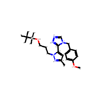 COc1ccc(Cn2cnnc2-c2cc(C)nn2CCCO[Si](C)(C)C(C)(C)C)cc1